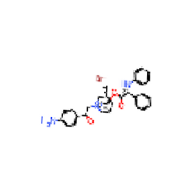 Nc1ccc(C(=O)C[N+]23CCC(CC2)[C@@H](OC(=O)[C@H](Nc2ccccc2)c2ccccc2)C3)cc1.[Br-]